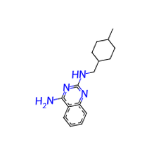 CC1CCC(CNc2nc(N)c3ccccc3n2)CC1